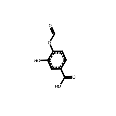 O=COc1ccc(C(=O)O)cc1O